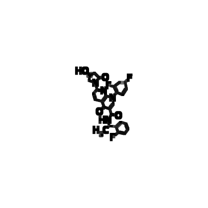 CC(NC(=O)c1cn(-c2ccc(F)cc2F)c2nc(N3C[C@@H](O)CC3=O)ccc2c1=O)c1ccccc1F